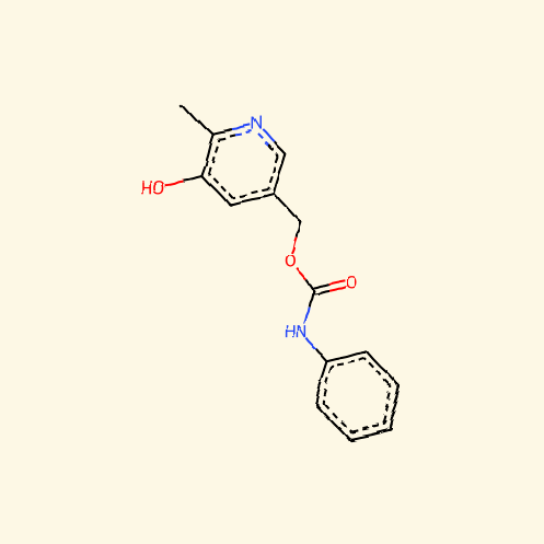 Cc1ncc(COC(=O)Nc2ccccc2)cc1O